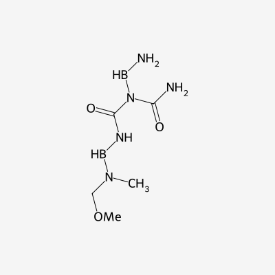 COCN(C)BNC(=O)N(BN)C(N)=O